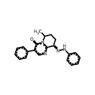 CC1CC/C(=N\Nc2ccccc2)c2ncc(-c3ccccc3)c(=O)n21